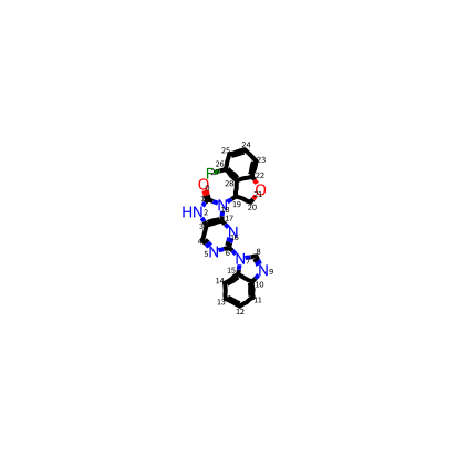 O=c1[nH]c2cnc(-n3cnc4ccccc43)nc2n1C1COc2cccc(F)c21